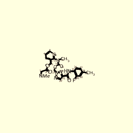 CNCC(=O)OCc1cccnc1N(C)C(=O)OCn1ncc(C(=O)Nc2ccc(C)cc2F)n1